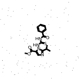 COC(=O)c1cnc(C(C)C)n1NC(=S)NC(=O)c1ccccc1